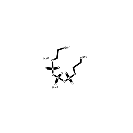 CCCCCCCCCCCCOS(=O)(=O)OS(=O)(=O)OS(=O)(=O)OCCCCCCCCCCCC.[NaH].[NaH]